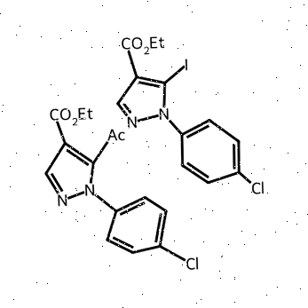 CCOC(=O)c1cnn(-c2ccc(Cl)cc2)c1C(C)=O.CCOC(=O)c1cnn(-c2ccc(Cl)cc2)c1I